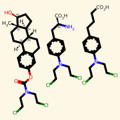 C[C@]12CC[C@@H]3c4ccc(OC(=O)N(CCCl)CCCl)cc4CC[C@H]3[C@@H]1CC[C@@H]2O.N[C@@H](Cc1ccc(N(CCCl)CCCl)cc1)C(=O)O.O=C(O)CCCc1ccc(N(CCCl)CCCl)cc1